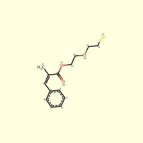 CC(=Cc1ccccc1)C(=O)OCCOCCS